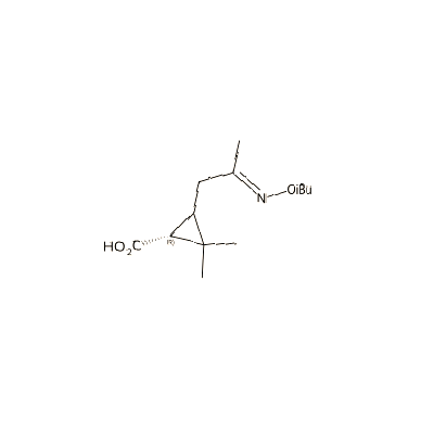 CC(CC1[C@@H](C(=O)O)C1(C)C)=NOCC(C)C